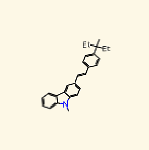 CCC(C)(CC)c1ccc(C=Cc2ccc3c(c2)c2ccccc2n3C)cc1